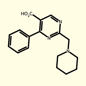 O=C(O)c1cnc(CN2CCCCC2)nc1-c1ccccc1